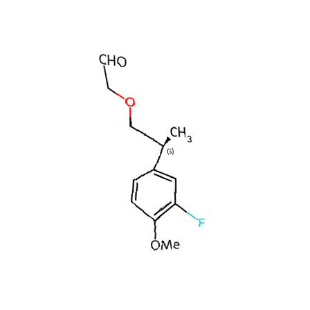 COc1ccc([C@H](C)COCC=O)cc1F